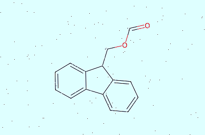 O=[C]O[CH]C1c2ccccc2-c2ccccc21